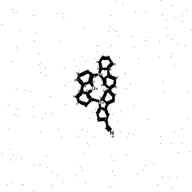 N#Cc1ccc2c(c1)c1ccccc1n2-c1cccc2c1oc1c(-n3c4ccccc4c4ccccc43)cccc12